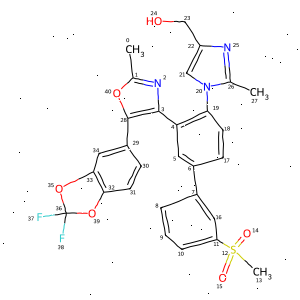 Cc1nc(-c2cc(-c3cccc(S(C)(=O)=O)c3)ccc2-n2cc(CO)nc2C)c(-c2ccc3c(c2)OC(F)(F)O3)o1